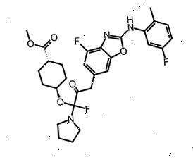 COC(=O)[C@H]1CC[C@H](OC(F)(C(=O)Cc2cc(F)c3nc(Nc4cc(F)ccc4C)oc3c2)N2CCCC2)CC1